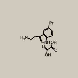 CC(C)c1ccc2[nH]cc(CCN)c2c1.O=C(O)C(=O)O